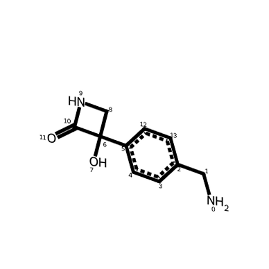 NCc1ccc(C2(O)CNC2=O)cc1